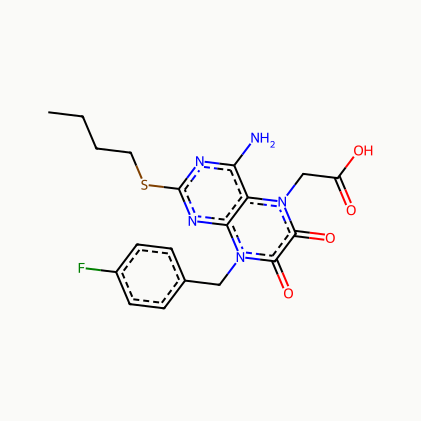 CCCCSc1nc(N)c2c(n1)n(Cc1ccc(F)cc1)c(=O)c(=O)n2CC(=O)O